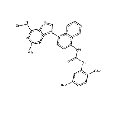 CCNc1nc(C)nc2c1ncn2-c1ccc(NC(=O)Nc2cc(C(C)(C)C)ccc2OC)c2ccccc12